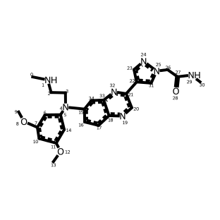 CNCCN(c1cc(OC)cc(OC)c1)c1ccc2ncc(-c3cnn(CC(=O)NC)c3)nc2c1